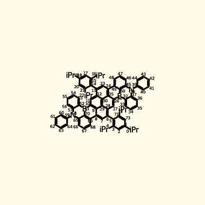 CC(C)c1cc(C(C)C)c(-c2cc3c4c(cc5c(-c6c(C(C)C)cc(C(C)C)cc6C(C)C)cc6c7c(cc2c4c57)B2c4ccccc4N(c4ccccc4)c4cccc-6c42)B2c4ccccc4N(c4ccccc4)c4cccc-3c42)c(C(C)C)c1